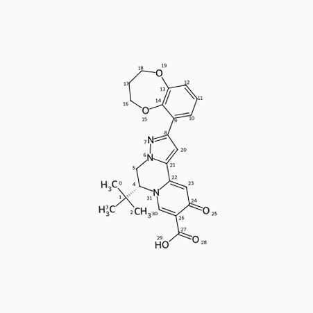 CC(C)(C)[C@@H]1Cn2nc(-c3cccc4c3OCCCO4)cc2-c2cc(=O)c(C(=O)O)cn21